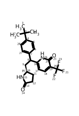 CC(C)(C)c1ccc(C(C[C@H]2CCC(=O)N2)c2ccc(C(F)(F)F)c(=O)[nH]2)cc1